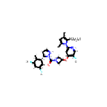 CCOC(=O)c1c(C)cc(C)n1-c1cc(OC2CN(C(=O)N3N=CC[C@H]3C3C=C(F)C=C(F)C3C)C2)c(F)cn1